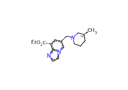 CCOC(=O)c1cc(CN2CCC[C@H](C)C2)cn2ccnc12